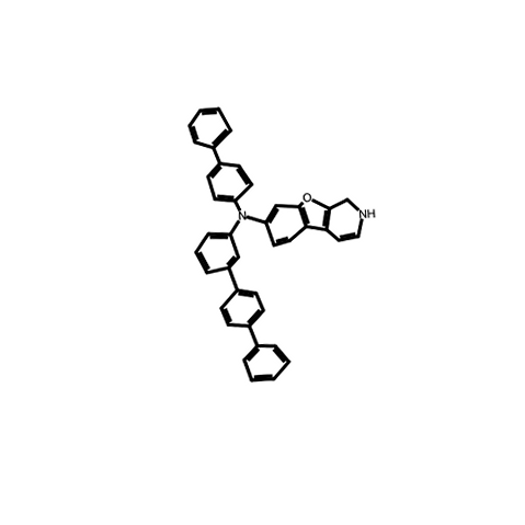 C1=Cc2c(oc3cc(N(c4ccc(-c5ccccc5)cc4)c4cccc(-c5ccc(-c6ccccc6)cc5)c4)ccc23)CN1